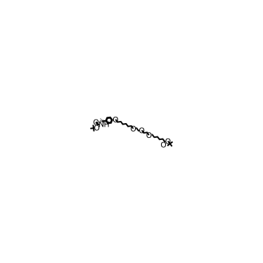 C[C@@H](NC(=O)OC(C)(C)C)c1ccc(OCCCCCCOCCOCCOCCCCCC(=O)OC(C)(C)C)cc1